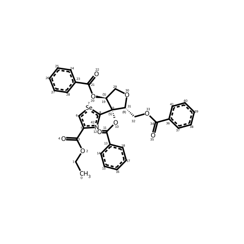 CCOC(=O)c1c[se]c([C@@]2(OC(=O)c3ccccc3)[C@@H](OC(=O)c3ccccc3)CO[C@@H]2COC(=O)c2ccccc2)n1